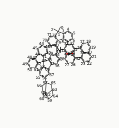 CC1(C)c2ccccc2-c2c(N(c3ccc(-c4cccc5cccc(-c6ccccc6)c45)cc3)c3ccc4c(c3)C3(c5ccccc5-c5ccccc53)c3ccc(C56CC7CC(CC(C7)C5)C6)cc3-4)cccc21